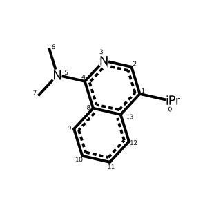 CC(C)c1cnc(N(C)C)c2ccccc12